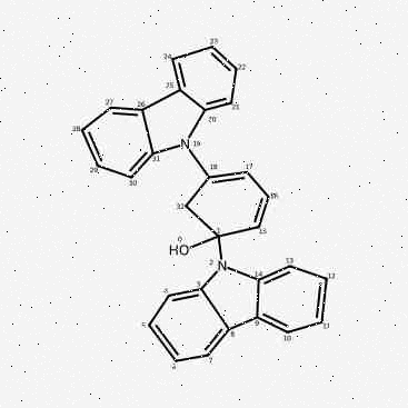 OC1(n2c3ccccc3c3ccccc32)C=CC=C(n2c3ccccc3c3ccccc32)C1